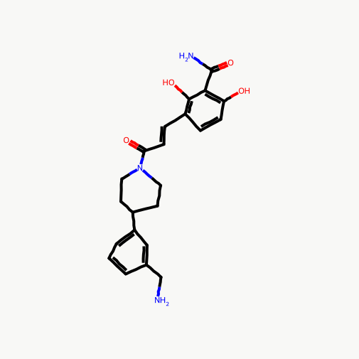 NCc1cccc(C2CCN(C(=O)C=Cc3ccc(O)c(C(N)=O)c3O)CC2)c1